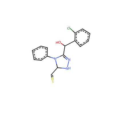 OC(C1=NNC(C=S)N1c1ccccc1)c1ccccc1Cl